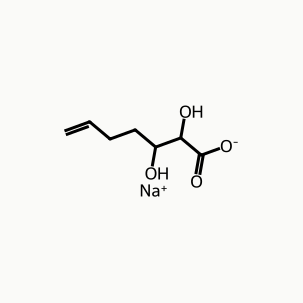 C=CCCC(O)C(O)C(=O)[O-].[Na+]